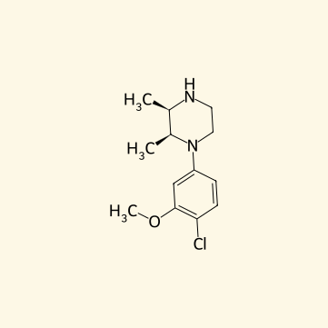 COc1cc(N2CCN[C@H](C)[C@@H]2C)ccc1Cl